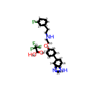 Fc1cccc(CCNCCOc2ccc(-c3ccc4[nH]cnc4c3)cc2)c1.O=C(O)C(F)(F)F